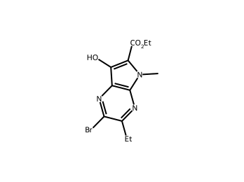 CCOC(=O)c1c(O)c2nc(Br)c(CC)nc2n1C